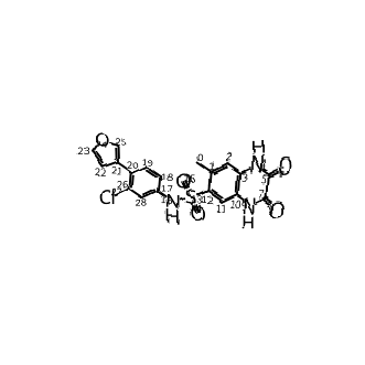 Cc1cc2[nH]c(=O)c(=O)[nH]c2cc1S(=O)(=O)Nc1ccc(-c2ccoc2)c(Cl)c1